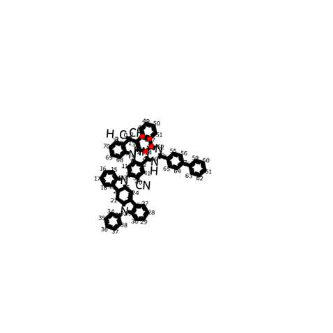 CC1(C)C2=C(CCC=C2)N(c2cc(N3c4ccccc4C4CC5C(=CC43)c3ccccc3N5c3ccccc3)c(C#N)cc2C2NC(c3ccccc3)=NC(c3ccc(-c4ccccc4)cc3)N2)c2ccccc21